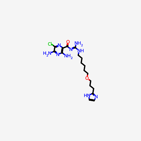 N/C(=N\C(=O)c1nc(Cl)c(N)nc1N)NCCCCCCOCCCc1ncc[nH]1